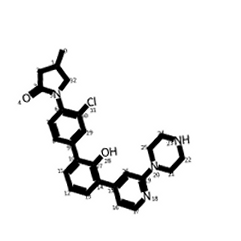 CC1CC(=O)N(c2ccc(-c3cccc(-c4ccnc(N5CCNCC5)c4)c3O)cc2Cl)C1